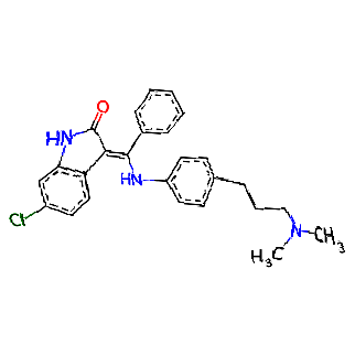 CN(C)CCCc1ccc(NC(=C2C(=O)Nc3cc(Cl)ccc32)c2ccccc2)cc1